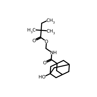 CCC(C)(C)C(=O)OCNC(=O)C12CC3CC(CC(O)(C3)C1)C2